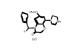 COc1cc(N2CCNCC2)c2c(c1)N(C(Cl)c1ccccc1)C(=O)CO2.Cl